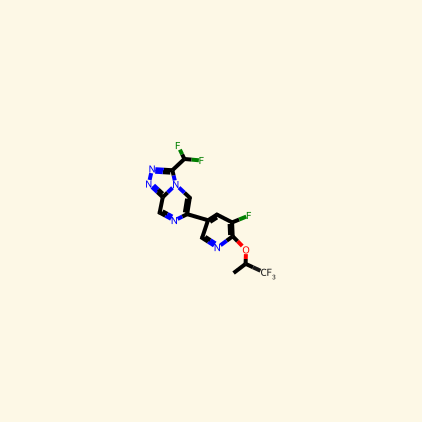 CC(Oc1ncc(-c2cn3c(C(F)F)nnc3cn2)cc1F)C(F)(F)F